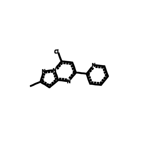 Cc1cc2nc(-c3ccccn3)cc(Cl)n2n1